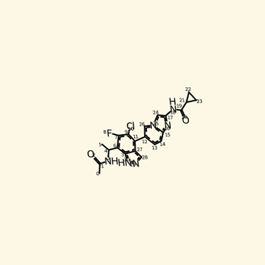 CC(=O)NC(C)c1c(F)c(Cl)c(-c2ccc3nc(NC(=O)C4CC4)cn3c2)c2cn[nH]c12